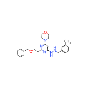 Cc1cccc(CNNc2cc(N3CCOCC3)nc(CCOCc3ccccc3)n2)c1